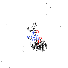 CC(C)c1coc2ccc(CNc3cnccc3N3C[C@H](C)[C@@H](O[Si](C)(C)C(C)(C)C)[C@H](NC(=O)OC(C)(C)C)C3)nc12